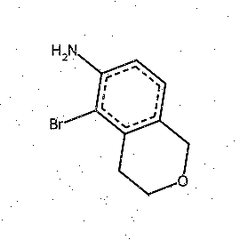 Nc1ccc2c(c1Br)CCOC2